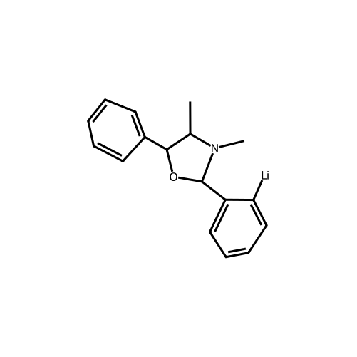 [Li][c]1ccccc1C1OC(c2ccccc2)C(C)N1C